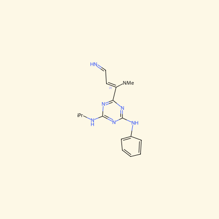 CN/C(=C\C=N)c1nc(Nc2ccccc2)nc(NC(C)C)n1